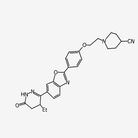 CCC1CC(=O)NN=C1c1ccc2nc(-c3ccc(OCCN4CCC(C#N)CC4)cc3)oc2c1